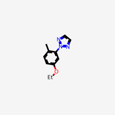 CCOc1ccc(C)c(-n2nccn2)c1